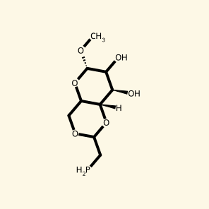 CO[C@H]1OC2COC(CP)O[C@H]2[C@H](O)C1O